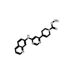 CC(C)(C)OC(=O)N1CC=C(c2cc(Nc3ccc4cccnc4c3)ncn2)CC1